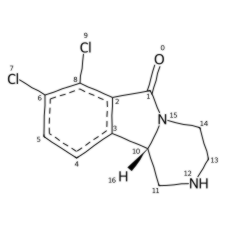 O=C1c2c(ccc(Cl)c2Cl)[C@H]2CNCCN12